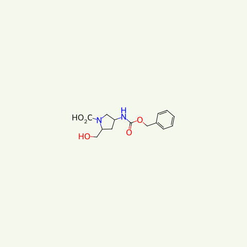 O=C(NC1CC(CO)N(C(=O)O)C1)OCc1ccccc1